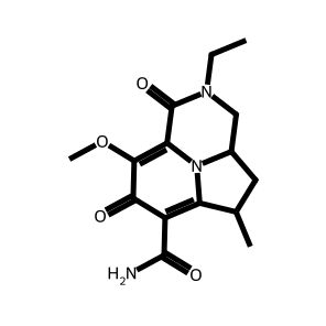 CCN1CC2CC(C)c3c(C(N)=O)c(=O)c(OC)c(n32)C1=O